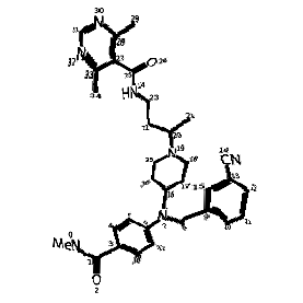 CNC(=O)c1ccc(N(Cc2cccc(C#N)c2)C2CCN(C(C)CCNC(=O)c3c(C)ncnc3C)CC2)cc1